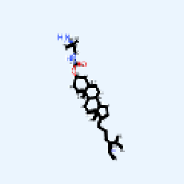 C/C=C(/CCCC1CCC2C3CC=C4CC(OC(=O)NCC(C)(C)N)CCC4(C)C3CCC12C)C(C)C